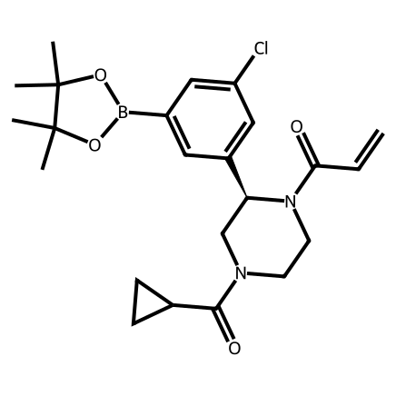 C=CC(=O)N1CCN(C(=O)C2CC2)C[C@H]1c1cc(Cl)cc(B2OC(C)(C)C(C)(C)O2)c1